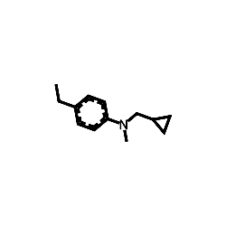 CCc1ccc(N(C)CC2CC2)cc1